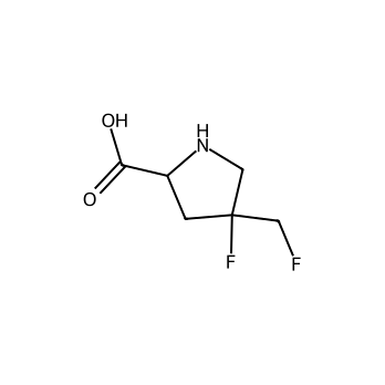 O=C(O)C1CC(F)(CF)CN1